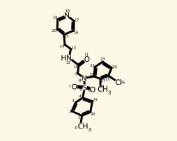 Cc1ccc(S(=O)(=O)N(CC(=O)NCCc2ccncc2)c2cccc(Cl)c2C)cc1